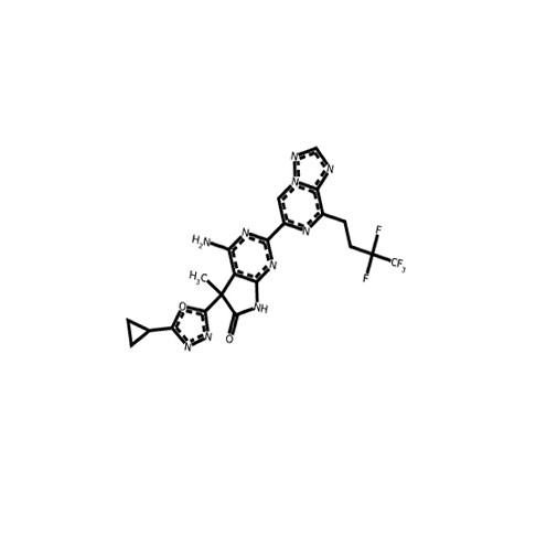 CC1(c2nnc(C3CC3)o2)C(=O)Nc2nc(-c3cn4ncnc4c(CCC(F)(F)C(F)(F)F)n3)nc(N)c21